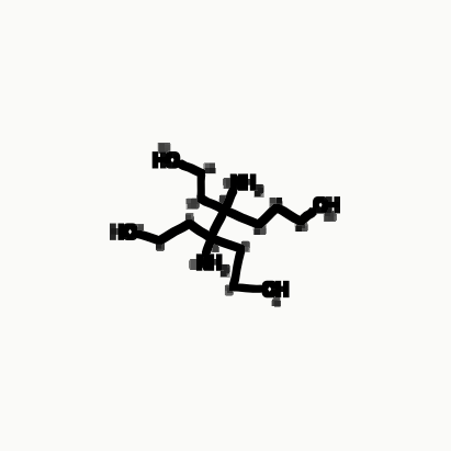 NC(CCO)(CCO)C(N)(CCO)CCCO